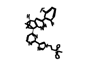 CC1(C)[C@H]2CC[C@]1(c1ccnc(-c3cn(CCS(C)(=O)=O)cn3)n1)c1nnc(-c3c(F)cccc3F)cc12